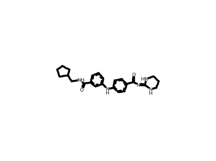 O=C(N=C1NCCCN1)c1ccc(Nc2cccc(C(=O)NCC3CCCC3)c2)cc1